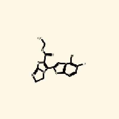 CCOC(=O)C1=C(c2cc3c(Br)c(O)ccc3o2)N2CCN=C2S1